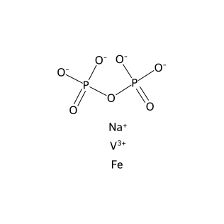 O=P([O-])([O-])OP(=O)([O-])[O-].[Fe].[Na+].[V+3]